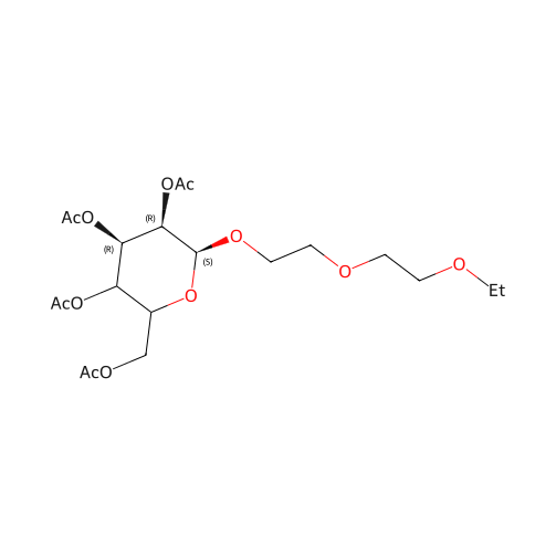 CCOCCOCCO[C@H]1OC(COC(C)=O)C(OC(C)=O)[C@@H](OC(C)=O)[C@H]1OC(C)=O